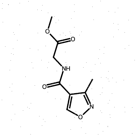 COC(=O)CNC(=O)c1conc1C